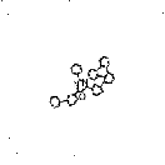 c1ccc(-c2ccc3oc4c(-c5cccc(-c6cccc7c8ccccc8c8ccccc8c67)c5)nc(-c5ccccc5)nc4c3c2)cc1